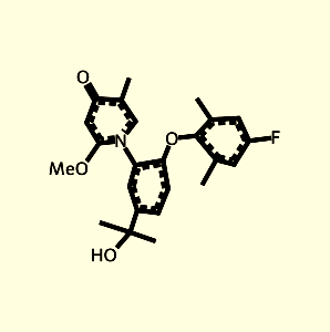 COc1cc(=O)c(C)cn1-c1cc(C(C)(C)O)ccc1Oc1c(C)cc(F)cc1C